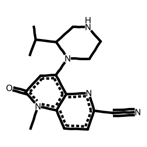 CC(C)C1CNCCN1c1cc(=O)n(C)c2ccc(C#N)nc12